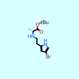 C[C@@H](NCCc1cc(Br)c[nH]1)C(=O)OC(C)(C)C